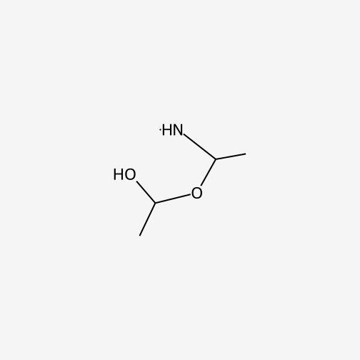 CC([NH])OC(C)O